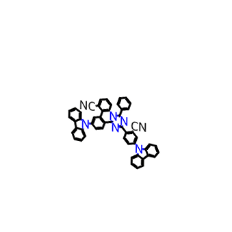 N#Cc1cc(-n2c3ccccc3c3ccccc32)ccc1-c1nc(-c2ccccc2)nc(-c2ccc(-n3c4ccccc4c4ccccc43)cc2-c2ccccc2C#N)n1